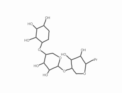 CC(C)C1OCC(OC2OCC(OC3CCC(O)C(O)C3O)C(O)C2O)C(O)C1O